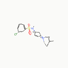 CC1CCN([C@H]2C=C[C@@H](N(C)S(=O)(=O)c3cccc(Cl)c3)C2)CC1